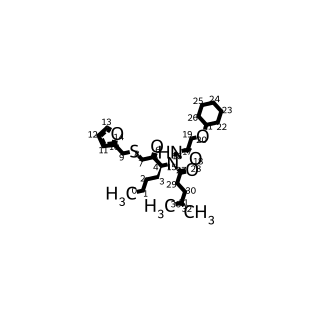 CCCC[C@@H](C(=O)CSCc1ccco1)N(NC(=O)COC1CCCCC1)C(=O)CCC(C)C